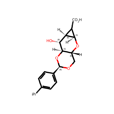 CC(C)c1ccc([C@@H]2OC[C@H]3O[C@@H]4C(C(=O)O)[C@@H]4[C@@H](O)[C@@H]3O2)cc1